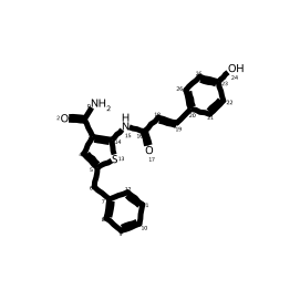 NC(=O)c1cc(Cc2ccccc2)sc1NC(=O)C=Cc1ccc(O)cc1